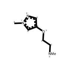 CNCCOc1cnn(C)c1